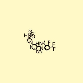 Cc1nc(NC(C)c2cccc(C(F)F)c2F)c2cc(N3CC[C@@H](NS(C)(=O)=O)C3)ncc2n1